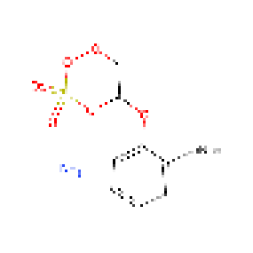 CCCCCCCCCc1ccccc1OC1COOS(=O)(=O)O1.N